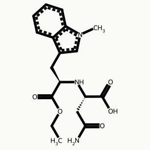 CCOC(=O)[C@@H](Cc1cn(C)c2ccccc12)N[C@@H](CC(N)=O)C(=O)O